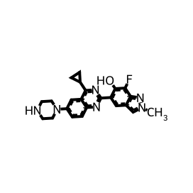 Cn1cc2cc(-c3nc(C4CC4)c4cc(N5CCNCC5)ccc4n3)c(O)c(F)c2n1